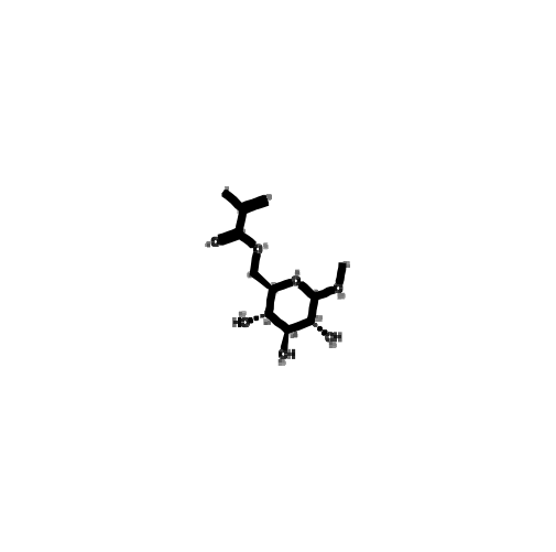 C=C(C)C(=O)OC[C@H]1OC(OC)[C@H](O)[C@@H](O)[C@@H]1O